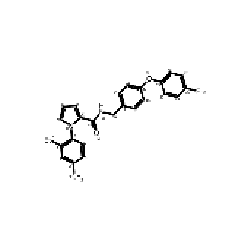 CCc1cc(C(F)(F)F)ccc1-n1cccc1C(=O)NCc1ccc(Oc2ccc(F)cc2)cc1